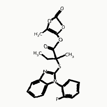 CCC(C)(Sc1nc2ccccc2n1-c1ccccc1F)C(=O)Oc1oc(=O)oc1C